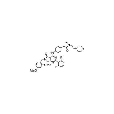 COc1ccc(CN2Cc3nc(-c4c(F)cccc4F)nc(Nc4ccc(C5CCN(CCN6CCOCC6)C5=O)cc4)c3C2=O)c(OC)c1